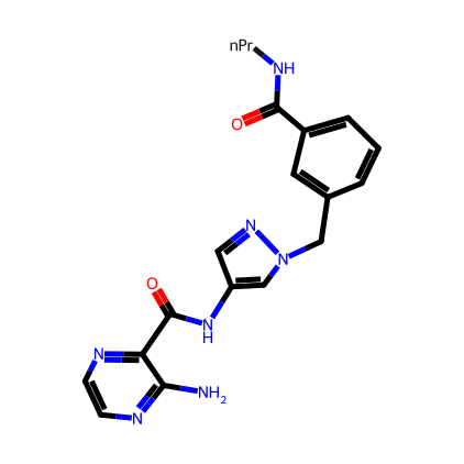 CCCNC(=O)c1cccc(Cn2cc(NC(=O)c3nccnc3N)cn2)c1